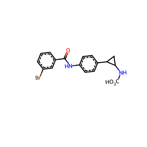 O=C(O)NC1CC1c1ccc(NC(=O)c2cccc(Br)c2)cc1